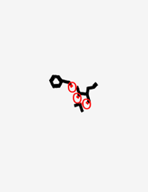 C=CCC1COC(C)(C)OC1COCc1ccccc1